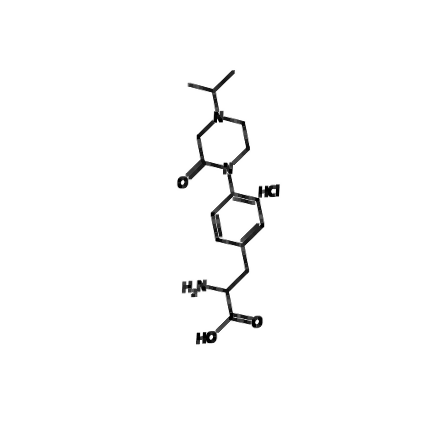 CC(C)N1CCN(c2ccc(CC(N)C(=O)O)cc2)C(=O)C1.Cl